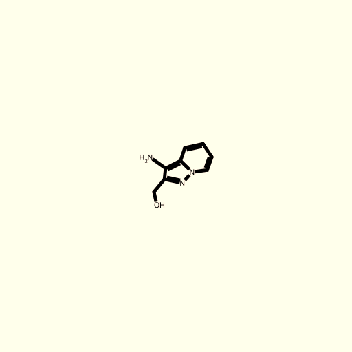 Nc1c(CO)nn2ccccc12